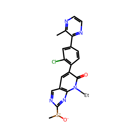 CCn1c(=O)c(-c2ccc(-c3nccnc3C)cc2Cl)cc2cnc([S+](C)[O-])nc21